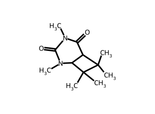 CN1C(=O)C2C(N(C)C1=O)C(C)(C)C2(C)C